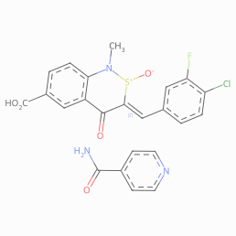 CN1c2ccc(C(=O)O)cc2C(=O)/C(=C/c2ccc(Cl)c(F)c2)[S+]1[O-].NC(=O)c1ccncc1